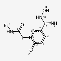 CCNC(=O)Cn1nc(C(=N)NO)ccc1=O